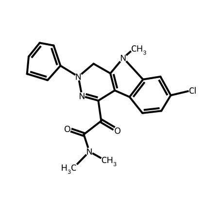 CN(C)C(=O)C(=O)C1=NN(c2ccccc2)Cc2c1c1ccc(Cl)cc1n2C